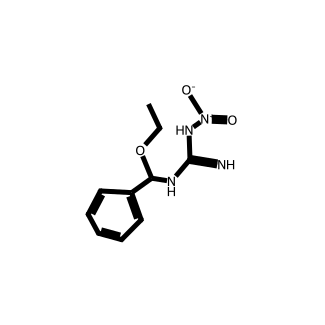 CCOC(NC(=N)N[N+](=O)[O-])c1ccccc1